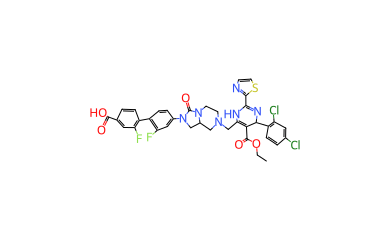 CCOC(=O)C1=C(CN2CCN3C(=O)N(c4ccc(-c5ccc(C(=O)O)cc5F)c(F)c4)CC3C2)NC(c2nccs2)=NC1c1ccc(Cl)cc1Cl